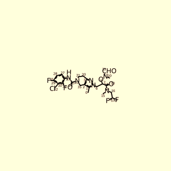 Cc1c2c(nn1CC(ON(C)C=O)C(=O)N(C)CC(F)F)CCN(C(=O)Nc1ccc(F)c(Cl)c1F)C2